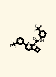 O=C(Nc1cccc(C(F)(F)F)c1)N1c2nc(-c3cccc(C(F)(F)F)c3)ccc2C2CCC21